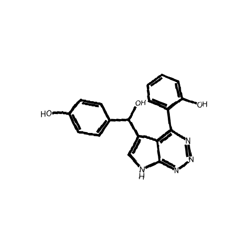 Oc1ccc(C(O)c2c[nH]c3nnnc(-c4ccccc4O)c23)cc1